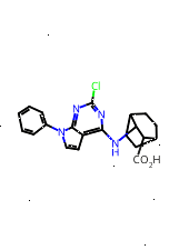 O=C(O)C1C2CCC(CC2)C1Nc1nc(Cl)nc2c1ccn2-c1ccccc1